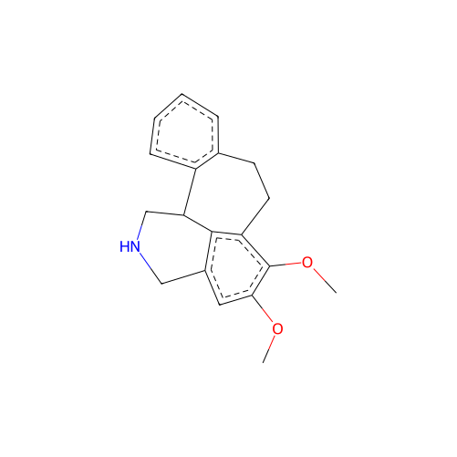 COc1cc2c3c(c1OC)CCc1ccccc1C3CNC2